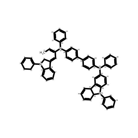 C/C=C(\C=C1/CN(C2=CC=CCC2)c2ccccc21)N(c1ccccc1)c1ccc(-c2ccc(N(c3ccccc3)c3ccc4c(c3)C3C=CC=CC3N4c3ccccc3)cc2)cc1